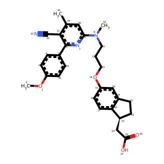 COc1ccc(-c2nc(N(C)CCCOc3ccc4c(c3)CC[C@H]4CC(=O)O)cc(C)c2C#N)cc1